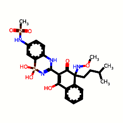 CONC1(CCC(C)C)C(=O)C(C2=NS(O)(O)c3cc(NS(C)(=O)=O)ccc3N2)=C(O)c2ccccc21